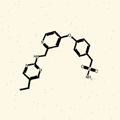 CCc1cnc(NCc2cc(Oc3ccc(CS(N)(=O)=O)cc3)ccn2)nc1